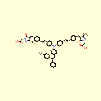 CC1=NN(CC(=O)O)C(=O)/C1=C\c1ccc(/C=C/c2ccc(N(c3ccc(/C=C(/c4ccccc4)c4ccc(C)cc4)cc3)c3ccc(/C=C/c4ccc(/C=C5/C(=O)N(CC(=O)O)N=C5C)cc4)cc3)cc2)cc1